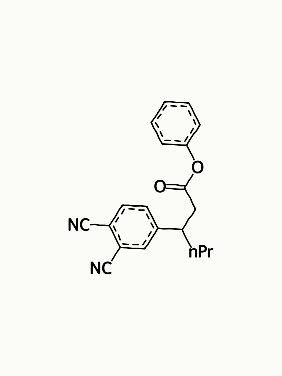 CCCC(CC(=O)Oc1ccccc1)c1ccc(C#N)c(C#N)c1